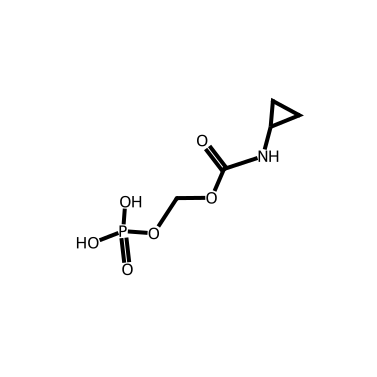 O=C(NC1CC1)OCOP(=O)(O)O